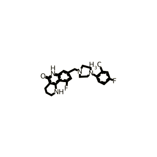 Cc1cc(F)ccc1N1CCN(Cc2cc(F)c3c4c(c(=O)[nH]c3c2)CCCN4)CC1